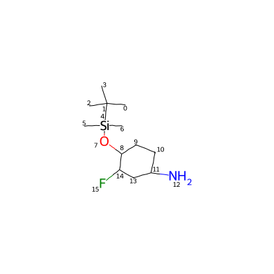 CC(C)(C)[Si](C)(C)OC1CCC(N)CC1F